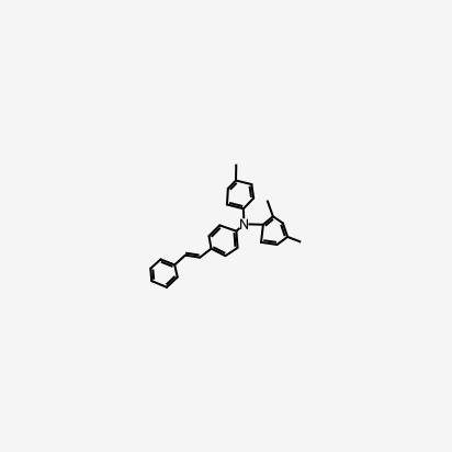 Cc1ccc(N(c2ccc(C=Cc3ccccc3)cc2)c2ccc(C)cc2C)cc1